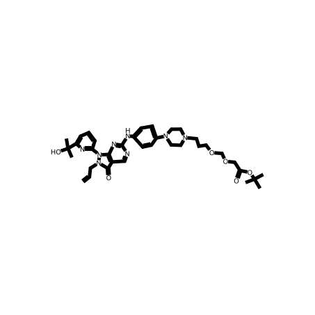 C=CCn1c(=O)c2cnc(Nc3ccc(N4CCN(CCCOCOCC(=O)OC(C)(C)C)CC4)cc3)nc2n1-c1cccc(C(C)(C)O)n1